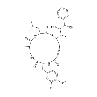 COc1ccc(CC2NC(=O)C=CCC(C(C)C(O)C(O)c3ccccc3)OC(=O)C(CC(C)C)OC(=O)C(C)CNC2=O)cc1Cl